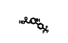 O=C(O)CN1CCNC(c2ccc(C(F)(F)F)cc2)C1